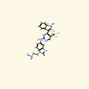 Cc1nc2cc(Nc3ncc(C(F)(F)F)c(-c4cn(C)c5ccccc45)n3)ccc2n1CCN(C)C